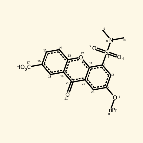 CCCOc1cc(S(=O)(=O)N(C)C)c2oc3ccc(C(=O)O)cc3c(=O)c2c1